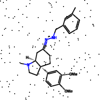 COc1ccc([C@@]23CCC(=NNCc4cccc(C)c4)C[C@@H]2N(C)CC3)cc1OC